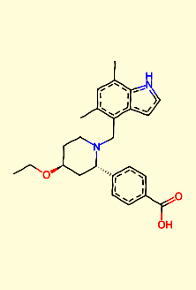 CCO[C@H]1CCN(Cc2c(C)cc(C)c3[nH]ccc23)[C@H](c2ccc(C(=O)O)cc2)C1